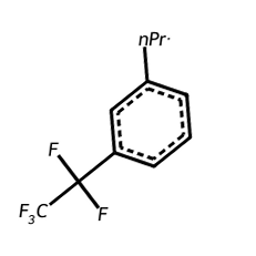 CC[CH]c1cccc(C(F)(F)C(F)(F)F)c1